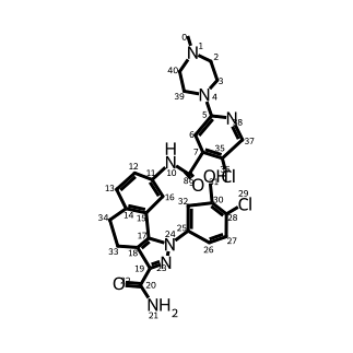 CN1CCN(c2cc(C(=O)Nc3ccc4c(c3)-c3c(c(C(N)=O)nn3-c3ccc(Cl)c(O)c3)CC4)c(Cl)cn2)CC1